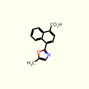 Cc1cnc(-c2ccc(C(=O)O)c3ccccc23)o1